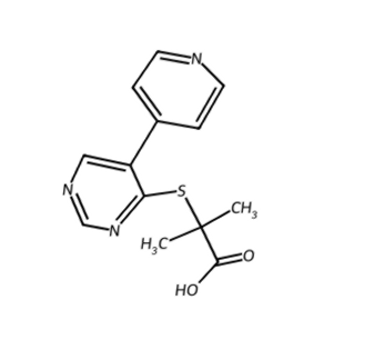 CC(C)(Sc1ncncc1-c1ccncc1)C(=O)O